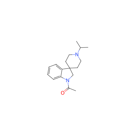 CC(=O)N1CC2(CCN(C(C)C)CC2)c2ccccc21